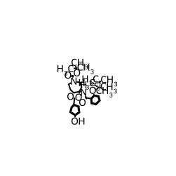 CC(C)(C)OC(=O)N1CCCC(NC(=O)c2ccccc2O[Si](C)(C)C(C)(C)C)(OC(=O)c2ccc(O)cc2)CC1